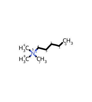 CCCCC[N+](C)(C)C